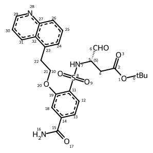 CC(C)(C)OC(=O)C[C@@H](C=O)NS(=O)(=O)c1ccc(C(N)=O)cc1OCCc1cccc2ncccc12